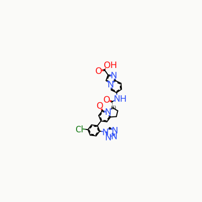 O=C(O)c1cn2cc(NC(=O)[C@@H]3CCc4cc(-c5cc(Cl)ccc5-n5cnnn5)cc(=O)n43)ccc2n1